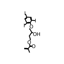 C=C(C)C(=O)OCCC(O)COc1c(I)cc(I)cc1I